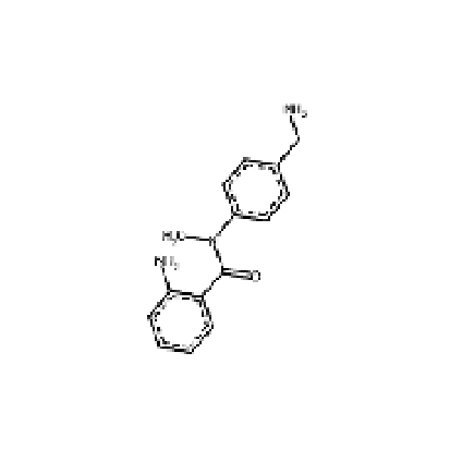 CN(C(=O)c1ccccc1N)c1ccc(CN)cc1